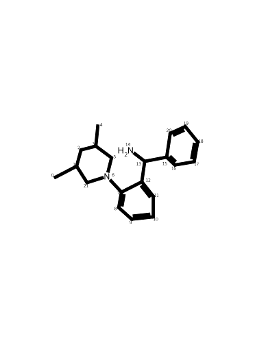 CC1CC(C)CN(c2ccccc2C(N)c2ccccc2)C1